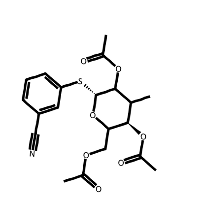 CC(=O)OCC1O[C@H](Sc2cccc(C#N)c2)C(OC(C)=O)C(C)[C@H]1OC(C)=O